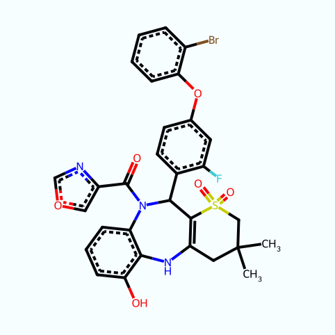 CC1(C)CC2=C(C(c3ccc(Oc4ccccc4Br)cc3F)N(C(=O)c3cocn3)c3cccc(O)c3N2)S(=O)(=O)C1